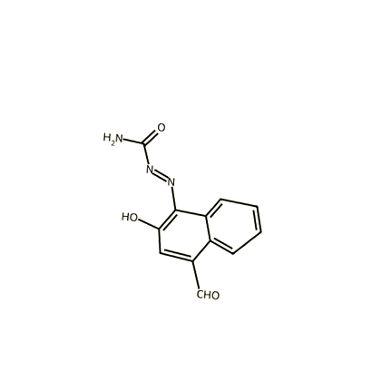 NC(=O)/N=N/c1c(O)cc(C=O)c2ccccc12